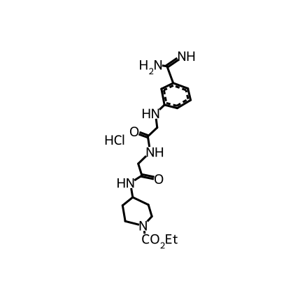 CCOC(=O)N1CCC(NC(=O)CNC(=O)CNc2cccc(C(=N)N)c2)CC1.Cl